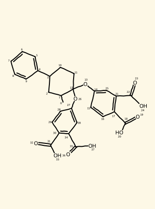 CC1CC(c2ccccc2)CCC1(Oc1ccc(C(=O)O)c(C(=O)O)c1)Oc1ccc(C(=O)O)c(C(=O)O)c1